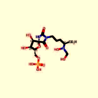 O=C(O)[C@H](CCCN1C(=O)N[C@@]2(O[C@H](COP(=O)(O)O)[C@@H](O)[C@H]2O)C1=O)N(O)CO